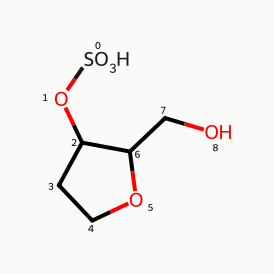 O=S(=O)(O)OC1CCOC1CO